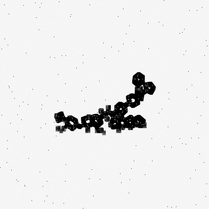 Cc1ccccc1[C@@H]1CCCN1C1CC2(CCN(c3ccc(C(=O)NS(=O)(=O)c4cc5c(c([N+](=O)[O-])c4)N[C@@H](CN4CCN(C6COC6)[C@H](C)C4)CO5)c(N4c5cc6cc[nH]c6nc5O[C@@H]5COC[C@@H]54)c3)CC2)C1